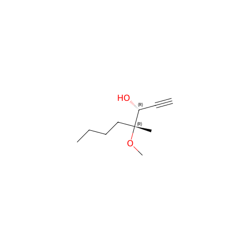 C#C[C@@H](O)[C@@](C)(CCCC)OC